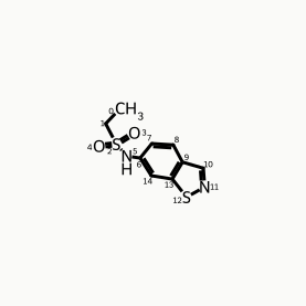 CCS(=O)(=O)Nc1ccc2cnsc2c1